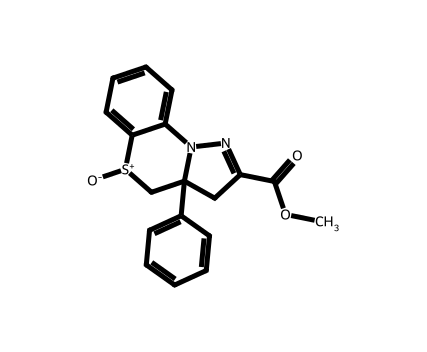 COC(=O)C1=NN2c3ccccc3[S+]([O-])CC2(c2ccccc2)C1